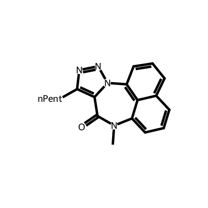 CCCCCc1nnn2c1c(=O)n(C)c1cccc3cccc2c31